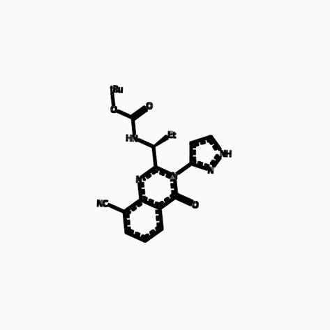 CC[C@H](NC(=O)OC(C)(C)C)c1nc2c(C#N)cccc2c(=O)n1-c1cc[nH]n1